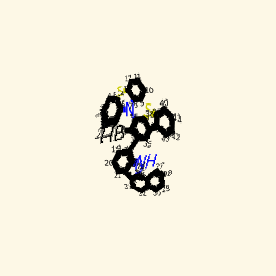 B1c2cccc3c2N(c2ccccc2S3)c2c1c(-c1cccc3c1[nH]c1c4ccccc4ccc31)cc1c2sc2ccccc21